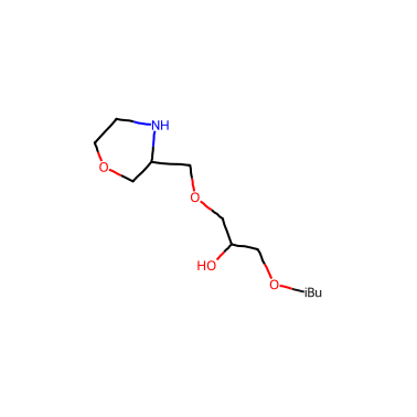 CCC(C)OCC(O)COCC1COCCN1